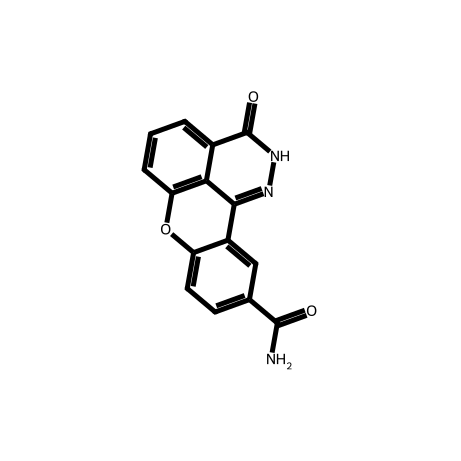 NC(=O)c1ccc2c(c1)-c1n[nH]c(=O)c3cccc(c13)O2